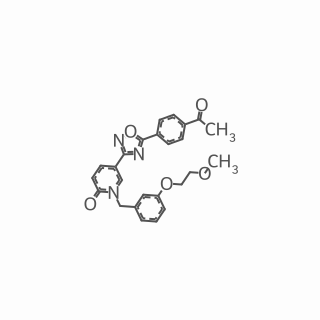 COCCOc1cccc(Cn2cc(-c3noc(-c4ccc(C(C)=O)cc4)n3)ccc2=O)c1